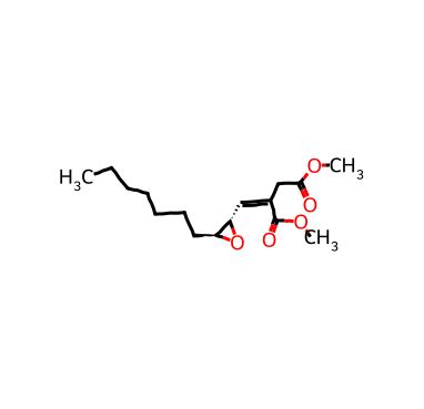 CCCCCCC[C@@H]1O[C@H]1C=C(CC(=O)OC)C(=O)OC